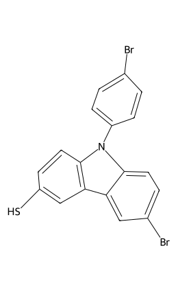 Sc1ccc2c(c1)c1cc(Br)ccc1n2-c1ccc(Br)cc1